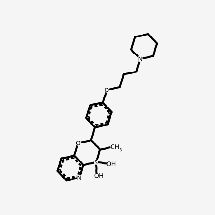 CC1C(c2ccc(OCCCN3CCCCC3)cc2)Oc2cccnc2S1(O)O